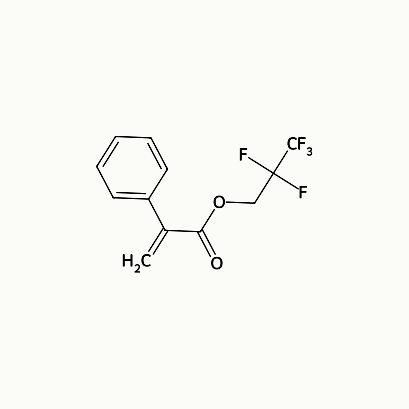 C=C(C(=O)OCC(F)(F)C(F)(F)F)c1ccccc1